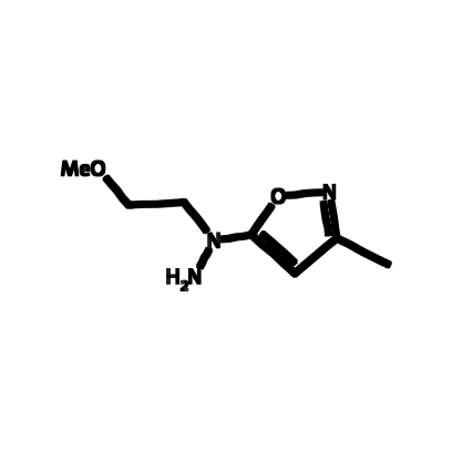 COCCN(N)c1cc(C)no1